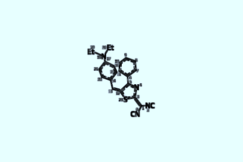 [C-]#[N+]C([N+]#[C-])=c1nc(-c2ccccc2)/c(=C\c2ccc(N(CC)CC)cc2)s1